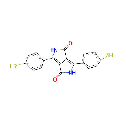 O=C1NC(c2ccc(S)cc2)=C2C(=O)NC(c3ccc(S)cc3)=C12